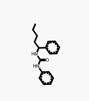 CCCCC(NC(=O)Nc1ccccc1)c1ccccc1